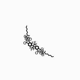 CCCCCCC(C)S(=O)(=O)ON1C(=O)c2ccc(C(c3ccc4c(c3)C(=O)N(OS(=O)(=O)C(C)CCCCCC)C4=O)(C(F)(F)F)C(F)(F)F)cc2C1=O